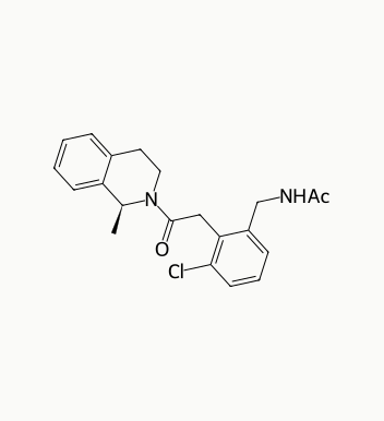 CC(=O)NCc1cccc(Cl)c1CC(=O)N1CCc2ccccc2[C@@H]1C